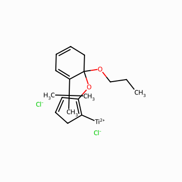 CCCOC1(OC2=[C]([Ti+2])CC=C2)CC=CC=C1C(C)(C)C.[Cl-].[Cl-]